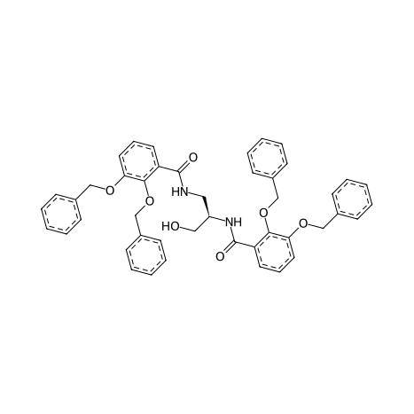 O=C(NC[C@H](CO)NC(=O)c1cccc(OCc2ccccc2)c1OCc1ccccc1)c1cccc(OCc2ccccc2)c1OCc1ccccc1